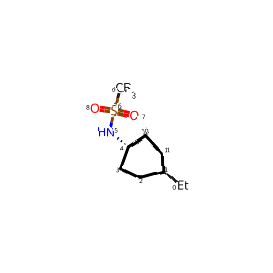 CC[C@H]1CC[C@H](NS(=O)(=O)C(F)(F)F)CC1